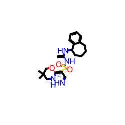 C=C(NC1CCCCc2ccccc21)NS(=O)(=O)/C(C=N)=C1/NCC(C)(C)CO1